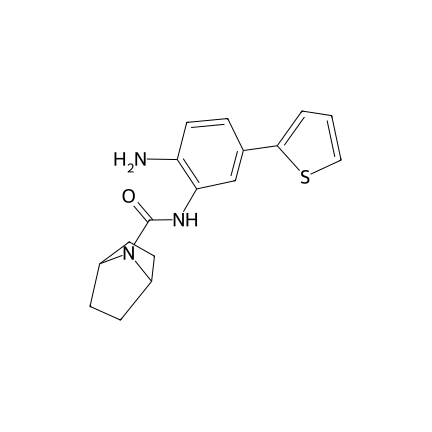 Nc1ccc(-c2cccs2)cc1NC(=O)N1C2CCC1CC2